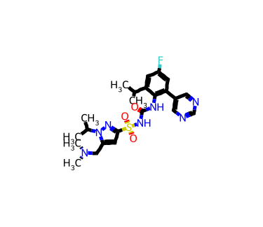 CC(C)c1cc(F)cc(-c2cncnc2)c1NC(=O)NS(=O)(=O)c1cc(CN(C)C)n(C(C)C)n1